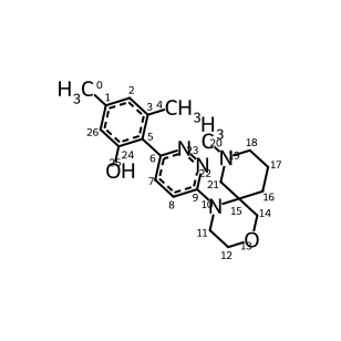 Cc1cc(C)c(-c2ccc(N3CCOCC34CCCN(C)C4)nn2)c(O)c1